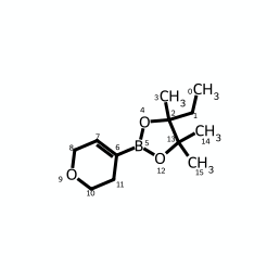 CCC1(C)OB(C2=CCOCC2)OC1(C)C